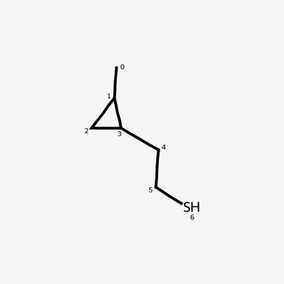 CC1CC1CCS